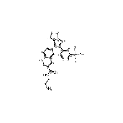 NCCNC(=O)c1cnc2ccc(-c3c(-c4cccc(C(F)(F)F)n4)nn4c3CCC4)cc2c1